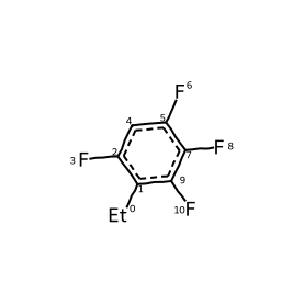 CCc1c(F)cc(F)c(F)c1F